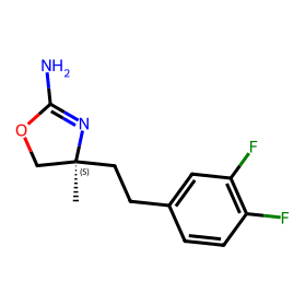 C[C@]1(CCc2ccc(F)c(F)c2)COC(N)=N1